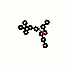 c1ccc(-c2ccc(-c3ccc(N(c4ccc(-c5ccc6c(-c7ccccc7)c(-c7ccccc7)c7ccccc7c6c5)cc4)c4ccc(-c5ccccc5)cc4-c4ccccc4)cc3)cc2)cc1